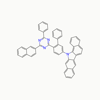 c1ccc(-c2nc(-c3ccc4ccccc4c3)nc(-c3ccc(-n4c5cc6ccccc6cc5c5ccc6ccccc6c54)cc3-c3ccccc3)n2)cc1